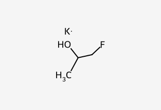 CC(O)CF.[K]